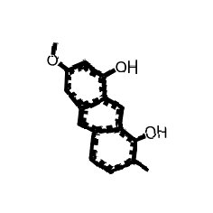 COc1cc(O)c2cc3c(O)c(C)ccc3cc2c1